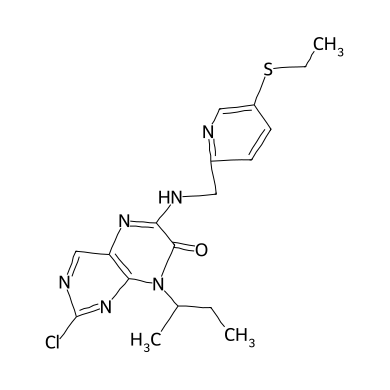 CCSc1ccc(CNc2nc3cnc(Cl)nc3n(C(C)CC)c2=O)nc1